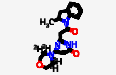 [2H]C1([2H])COCC([2H])([2H])N1c1cc(=O)[nH]c(CC(=O)N2c3ccccc3CC2C)n1